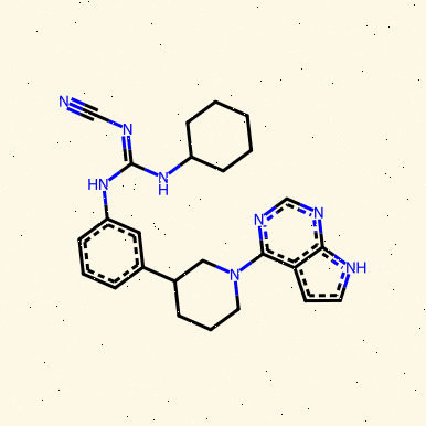 N#C/N=C(\Nc1cccc(C2CCCN(c3ncnc4[nH]ccc34)C2)c1)NC1CCCCC1